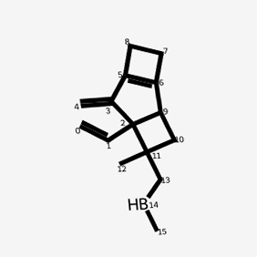 C=CC12C(=C)C3=C(CC3)C1CC2(C)CBC